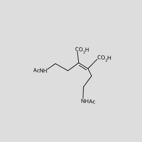 CC(=O)NCCC(C(=O)O)=C(CCNC(C)=O)C(=O)O